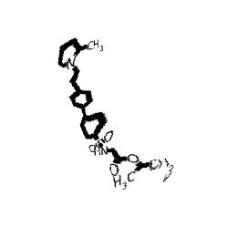 CC(C)OC(=O)CNS(=O)(=O)c1ccc(-c2ccc(CCN3CCCC3C)cc2)cc1